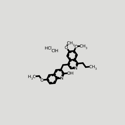 CCCc1ncc(Cc2cc3cc(OCC)ccc3nc2O)c2cc(OC)c(OC)cc12.Cl.Cl